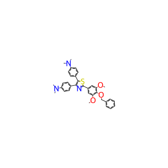 COc1cc(-c2nc(-c3ccc(N(C)C)cc3)c(-c3ccc(N(C)C)cc3)s2)cc(OC)c1OCc1ccccc1